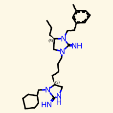 CCC[C@@H]1CN(CCCC[C@H]2CNC(=N)N2CC2CCCCC2)C(=N)N1CCc1cccc(C)c1